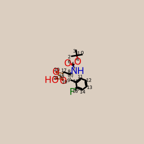 CC(C)(C)OC(=O)N[C@H](Cc1ccccc1F)CS(=O)(=O)O